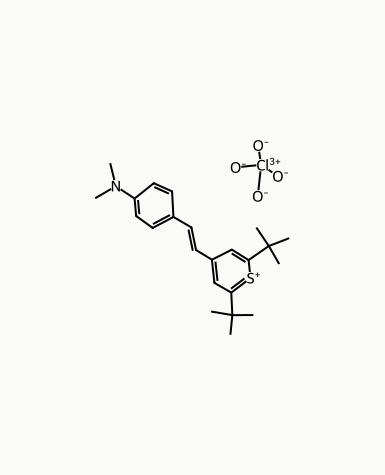 CN(C)c1ccc(/C=C/c2cc(C(C)(C)C)[s+]c(C(C)(C)C)c2)cc1.[O-][Cl+3]([O-])([O-])[O-]